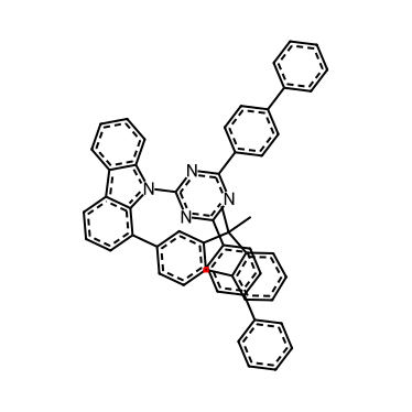 CC1(C)c2ccccc2-c2ccc(-c3cccc4c5ccccc5n(-c5nc(-c6ccc(-c7ccccc7)cc6)nc(-c6ccc(-c7ccccc7)cc6)n5)c34)cc21